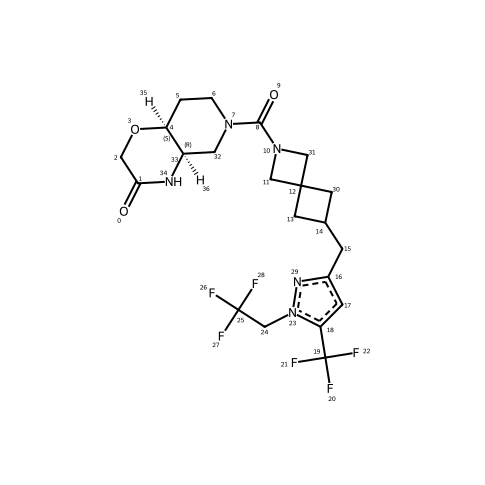 O=C1CO[C@H]2CCN(C(=O)N3CC4(CC(Cc5cc(C(F)(F)F)n(CC(F)(F)F)n5)C4)C3)C[C@H]2N1